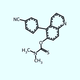 CN(C)C(=S)Oc1ccc2ncccc2c1-c1ccc(C#N)cc1